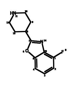 Fc1cccc2oc(C3CCNCC3)nc12